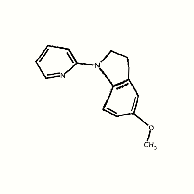 COc1ccc2c(c1)CCN2c1ccccn1